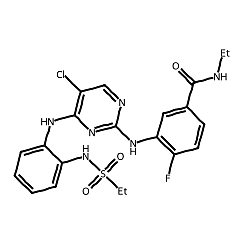 CCNC(=O)c1ccc(F)c(Nc2ncc(Cl)c(Nc3ccccc3NS(=O)(=O)CC)n2)c1